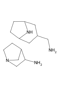 NC1CN2CCC1C2.NCC1CC2CCC(C1)N2